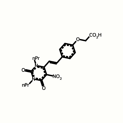 CCCn1c(C=Cc2ccc(OCC(=O)O)cc2)c([N+](=O)[O-])c(=O)n(CCC)c1=O